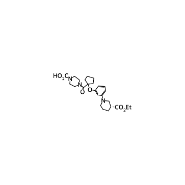 CCOC(=O)[C@@H]1CCCN(c2cccc(OC3(C(=O)N4CCN(C(=O)O)CC4)CCCC3)c2)C1